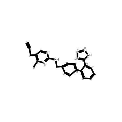 C#CCc1cnc(NCc2ccc(-c3ccccc3-c3nnn[nH]3)cc2)nc1C